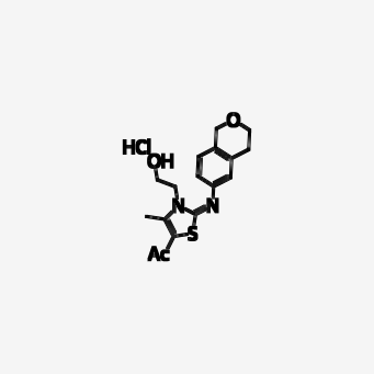 CC(=O)c1sc(=Nc2ccc3c(c2)CCOC3)n(CCO)c1C.Cl